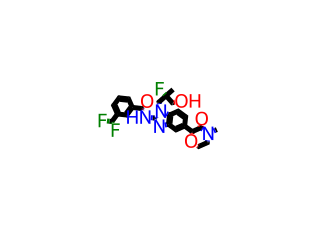 CN1CCOC(c2ccc3c(c2)nc(NC(=O)c2cccc(C(F)F)c2)n3CC(C)(F)CO)C1=O